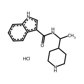 CC(NC(=O)c1c[nH]c2ccccc12)C1CCNCC1.Cl